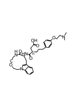 CN(C)CCOc1ccc(CCC[C@H](CC(=O)O)C(=O)NC2Cc3cn(c4ccccc34)CCOCCNC2=O)cc1